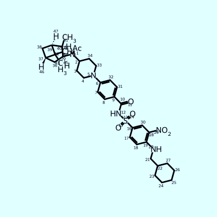 CC(=O)N(C1CCN(c2ccc(C(=O)NS(=O)(=O)c3ccc(NCC4CCCCC4)c([N+](=O)[O-])c3)cc2)CC1)[C@H]1C[C@@H]2C[C@@H]([C@H]1C)C2(C)C